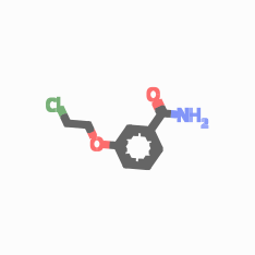 NC(=O)c1cccc(OCCCl)c1